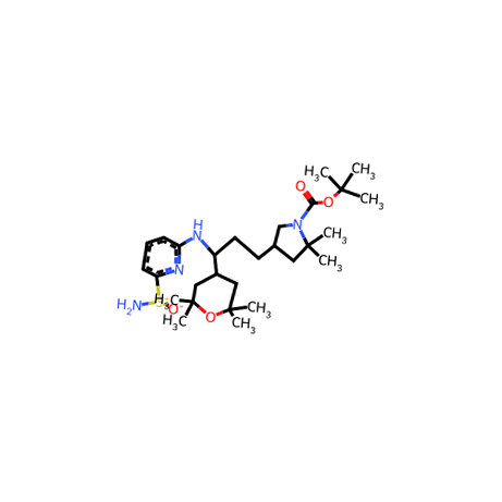 CC(C)(C)OC(=O)N1CC(CCC(Nc2cccc([S+](N)[O-])n2)C2CC(C)(C)OC(C)(C)C2)CC1(C)C